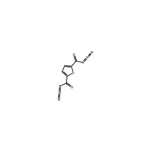 [N-]=[N+]=NC(=O)c1ccc(C(=O)N=[N+]=[N-])o1